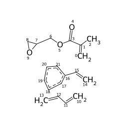 C=C(C)C(=O)OCC1CO1.C=CC=C.C=Cc1ccccc1